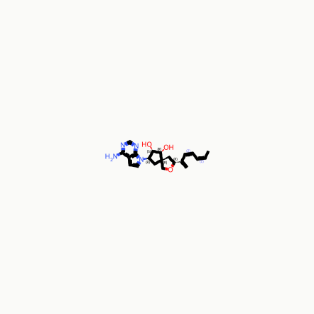 C=C(/C=C\C=C/C)[C@H]1C[C@@]2(CO1)C[C@@H](n1ccc3c(N)ncnc31)[C@H](O)[C@@H]2O